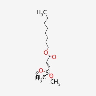 CCCCCCCCOC(=O)C=C[Si](C)(OC)OC